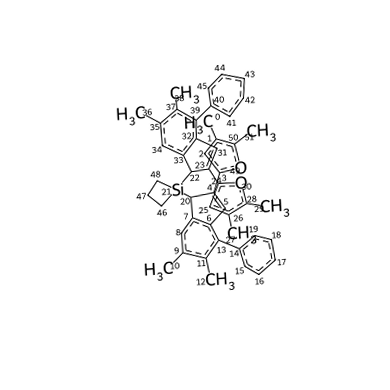 Cc1cc(C2=Cc3c(cc(C)c(C)c3-c3ccccc3)C2[Si]2(C3C(c4cc(C)c(C)o4)=Cc4c3cc(C)c(C)c4-c3ccccc3)CCC2)oc1C